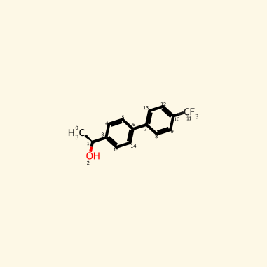 C[C@H](O)c1ccc(-c2ccc(C(F)(F)F)cc2)cc1